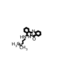 CN(C)CCCNc1nn2c(=O)c3ccccc3nc2c2ccccc12